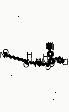 Cc1cc(C2CCC(N3C[C@H](C(=O)NCc4cn(CCCNC(=O)CCCCCCCCCCC(N)=O)nn4)OC[C@@H]3Cc3ccc(Cl)cc3)CC2)nn1C